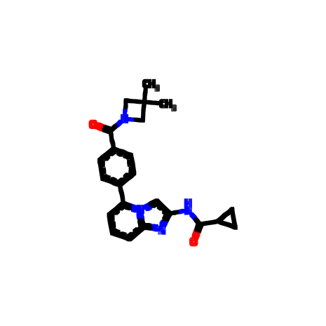 CC1(C)CN(C(=O)c2ccc(-c3cccc4nc(NC(=O)C5CC5)cn34)cc2)C1